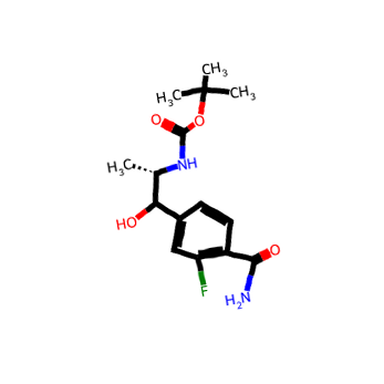 C[C@H](NC(=O)OC(C)(C)C)C(O)c1ccc(C(N)=O)c(F)c1